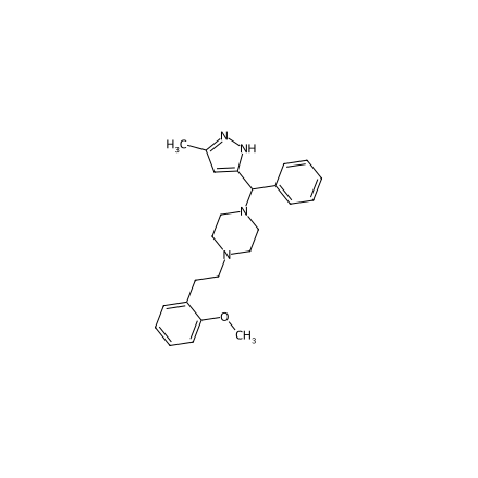 COc1ccccc1CCN1CCN(C(c2ccccc2)c2cc(C)n[nH]2)CC1